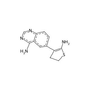 NC1=C(c2ccc3ncnc(N)c3c2)CCS1